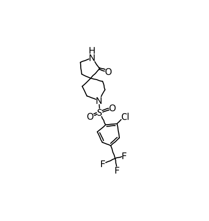 O=C1NCCC12CCN(S(=O)(=O)c1ccc(C(F)(F)F)cc1Cl)CC2